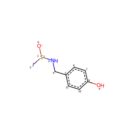 [O-][S+](I)NCc1ccc(O)cc1